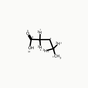 [2H]C([2H])(C)CC([2H])([2H])C(=O)O